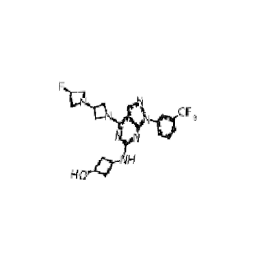 O[C@H]1C[C@@H](Nc2nc(N3CC(N4CC(F)C4)C3)c3cnn(-c4cccc(C(F)(F)F)c4)c3n2)C1